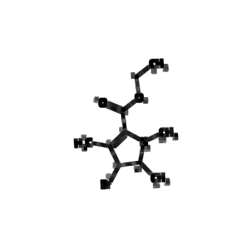 CCOC(=O)C1=C(C)C(Br)C(C)N1C